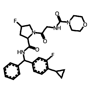 O=C(NC(c1ccccc1)c1ccc(C2CC2)c(F)c1)C1CC(F)CN1C(=O)CNC(=O)N1CCOCC1